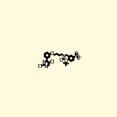 CC(C)(C)OC(=O)N(CCCCOc1cccc(-c2nc(Cl)ncc2Cl)c1)Cc1cccc([N+](=O)[O-])c1